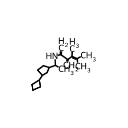 C=C(NC(C)C1CCC(C2CCC2)C1)C(=C)C(C)=C(C)C